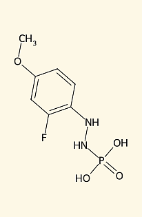 COc1ccc(NNP(=O)(O)O)c(F)c1